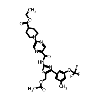 CCOC(=O)C1CCN(c2cnc(C(=O)Nc3nc(-c4cc(C)cc(OC(F)(F)F)c4)c(COC(C)=O)s3)cn2)CC1